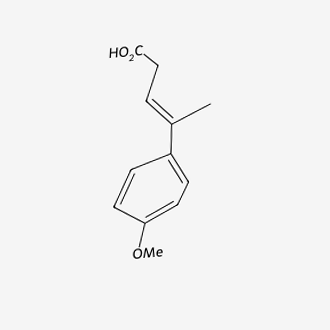 COc1ccc(C(C)=CCC(=O)O)cc1